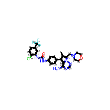 Cc1c(-c2ccc(NC(=O)Nc3cc(C(F)(F)F)ccc3Cl)cc2)c2c(N)ncnn2c1CN1CCOCC1